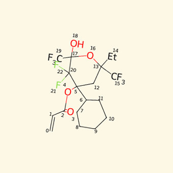 C=CC(=O)OC1(C2CCCCC2)CC(CC)(C(F)(F)F)OC(O)(C(F)(F)F)C1(F)F